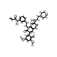 C=CC(=O)Nc1cccc(CCn2c(=O)c(-c3cc(OC)cc(OC)c3F)cc3cnc(NCCN4CCOCC4)nc32)c1